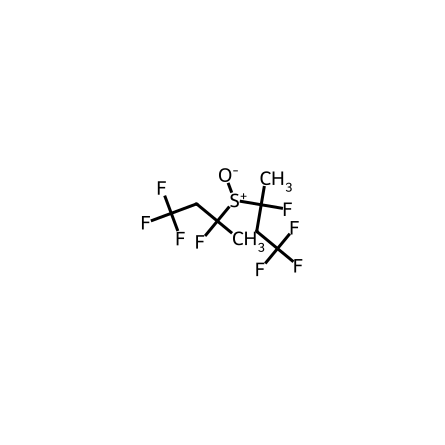 CC(F)(CC(F)(F)F)[S+]([O-])C(C)(F)CC(F)(F)F